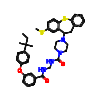 CCC(C)(C)c1ccc(Oc2cccc(C(=O)NCNC(=O)N3CCN(C4Cc5ccccc5Sc5ccc(SC)cc54)CC3)c2)cc1